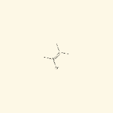 CC(C)=[N+](C)[O-]